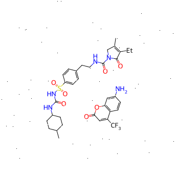 CCC1=C(C)CN(C(=O)NCCc2ccc(S(=O)(=O)NC(=O)NC3CCC(C)CC3)cc2)C1=O.Nc1ccc2c(C(F)(F)F)cc(=O)oc2c1